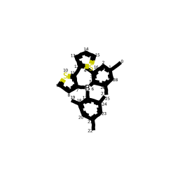 Cc1cc(C)c(B(c2ccsc2-c2cccs2)c2c(C)cc(C)cc2C)c(C)c1